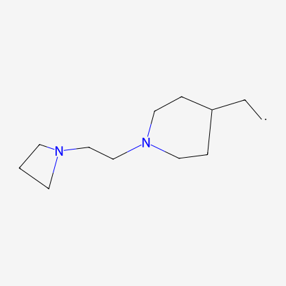 [CH2]CC1CCN(CCN2CCC2)CC1